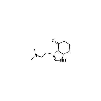 CN(C)CCC1=CNC2CCCC(=O)C12